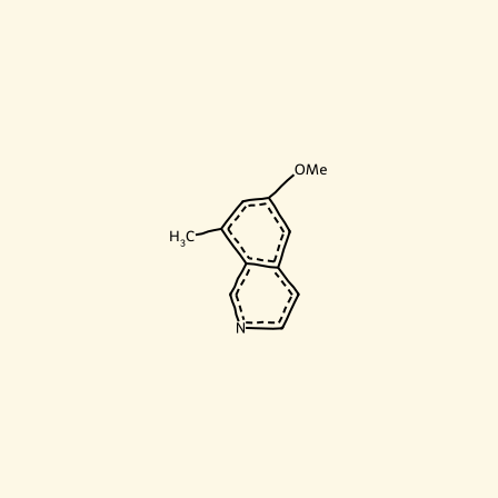 COc1cc(C)c2cnccc2c1